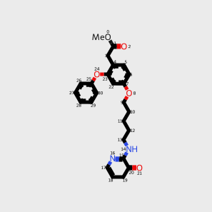 COC(=O)Cc1ccc(OCCCCCNC2=NC=CCC2=O)cc1Oc1ccccc1